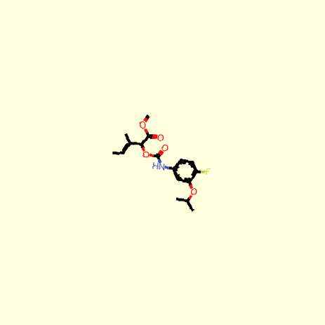 CC=C(C)C(OC(=O)Nc1ccc(F)c(OC(C)C)c1)C(=O)OC